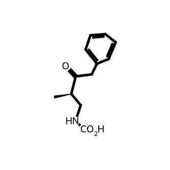 C[C@H](CNC(=O)O)C(=O)Cc1ccccc1